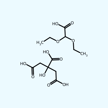 CCOC(OCC)C(=O)O.O=C(O)CC(O)(CC(=O)O)C(=O)O